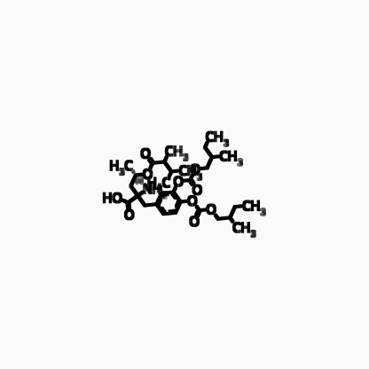 CCC(C)COC(=O)Oc1ccc(CC(N)(C[C@H](C)OC(=O)C(C)C(C)C)C(=O)O)cc1OC(=O)OCC(C)CC